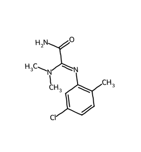 Cc1ccc(Cl)cc1N=C(C(N)=O)N(C)C